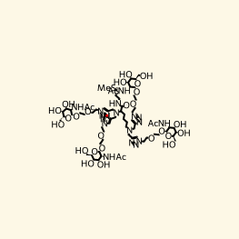 CSSCCNC(=O)C(CCCCN(Cc1cn(CCOCCO[C@@H]2O[C@H](CO)[C@H](O)[C@H](O)[C@H]2NC(C)=O)nn1)Cc1cn(CCOCCO[C@@H]2O[C@H](CO)[C@H](O)[C@H](O)[C@H]2NC(C)=O)nn1)N(Cc1cn(CCOCCO[C@@H]2O[C@H](CO)[C@H](O)[C@H](O)[C@H]2NC(C)=O)nn1)Cc1cn(CCOCCO[C@@H]2O[C@H](CO)[C@H](O)[C@H](O)[C@H]2NC(C)=O)nn1